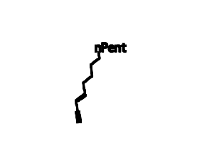 C#CC=CCCCCCCCCC